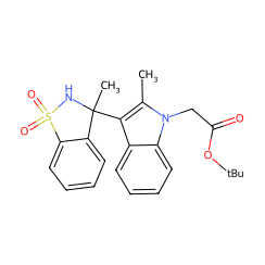 Cc1c(C2(C)NS(=O)(=O)c3ccccc32)c2ccccc2n1CC(=O)OC(C)(C)C